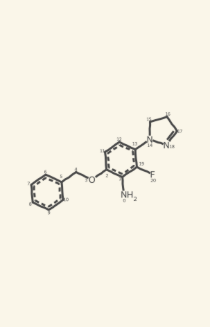 Nc1c(OCc2ccccc2)ccc(N2CCC=N2)c1F